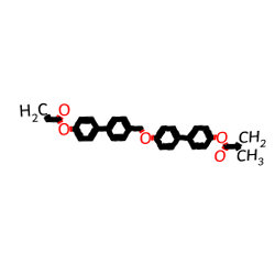 C=CC(=O)Oc1ccc(-c2ccc(COc3ccc(-c4ccc(OC(=O)C(=C)C)cc4)cc3)cc2)cc1